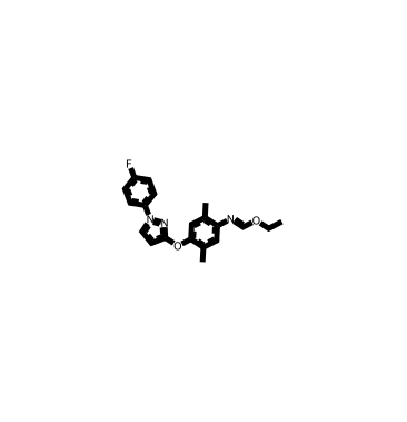 CCO/C=N/c1cc(C)c(Oc2ccn(-c3ccc(F)cc3)n2)cc1C